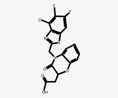 O=C(O)CC1Oc2ccccc2N(Cc2nc3c(Cl)c(F)c(F)cc3s2)C1=O